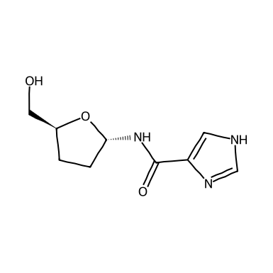 O=C(N[C@@H]1CC[C@@H](CO)O1)c1c[nH]cn1